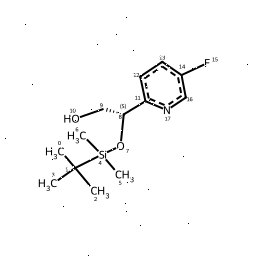 CC(C)(C)[Si](C)(C)O[C@H](CO)c1ccc(F)cn1